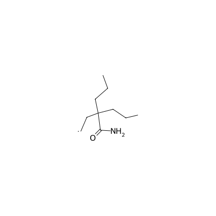 [CH2]CC(CCC)(CCC)C(N)=O